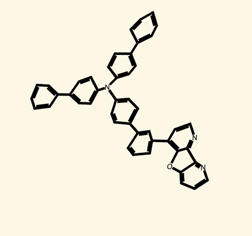 c1ccc(-c2ccc(N(c3ccc(-c4ccccc4)cc3)c3ccc(-c4cccc(-c5ccnc6c5oc5cccnc56)c4)cc3)cc2)cc1